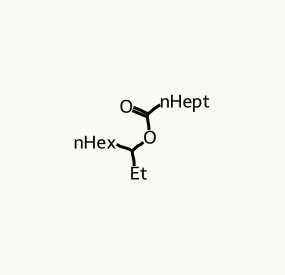 CCCCCCCC(=O)OC(CC)CCCCCC